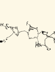 Cc1cc(-c2cc3c(cc2F)OC(F)(F)C(=O)N3)nn1C